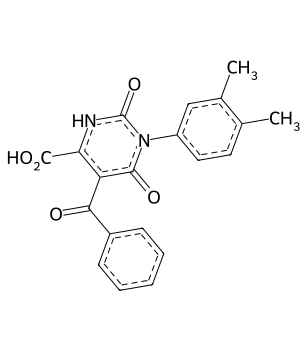 Cc1ccc(-n2c(=O)[nH]c(C(=O)O)c(C(=O)c3ccccc3)c2=O)cc1C